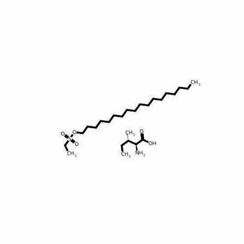 CCCCCCCCCCCCCCCCCCOS(=O)(=O)CC.CC[C@H](C)[C@H](N)C(=O)O